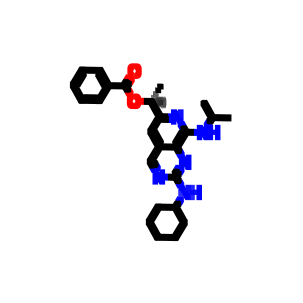 CC(C)Nc1nc([C@@H](C)OC(=O)c2ccccc2)cc2cnc(NC3CCCCC3)nc12